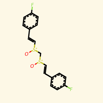 [O-][S+](C=Cc1ccc(F)cc1)C[S+]([O-])C=Cc1ccc(F)cc1